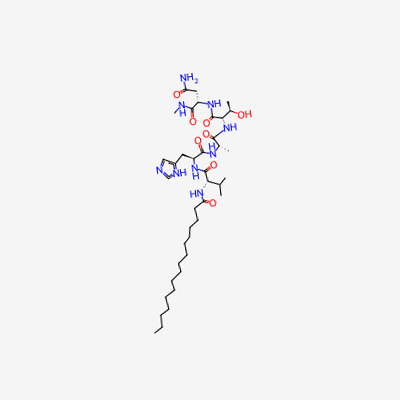 CCCCCCCCCCCCCCCC(=O)N[C@H](C(=O)N[C@@H](Cc1cnc[nH]1)C(=O)N[C@@H](C)C(=O)N[C@H](C(=O)N[C@@H](CC(N)=O)C(=O)NC)[C@@H](C)O)C(C)C